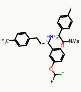 CNC(=O)[C@H](N[C@@H](CCc1ccc(C(F)(F)F)cc1)c1cccc(OC(F)F)c1)c1ccc(C)cc1